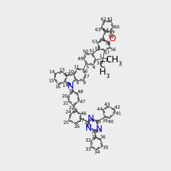 CC1(C)c2cc(-c3ccc4c(c3)c3ccccc3n4-c3ccc(-c4cccc(-c5nc(-c6ccccc6)nc(-c6ccccc6)n5)c4)cc3)ccc2-c2cc3c(cc21)oc1ccccc13